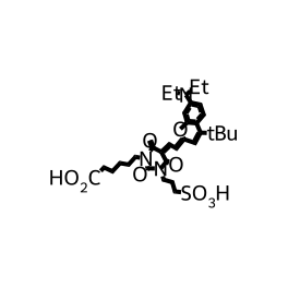 CCN(CC)c1ccc2c(c1)OC(=CC=C1C(=O)N(CCCCCC(=O)O)C(=O)N(CCCS(=O)(=O)O)C1=O)C=C2C(C)(C)C